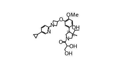 COc1ccc([C@@H]2CN(C(=O)C(O)CO)C[C@@]2(C)C(C)O)cc1OC1CN(c2ccc(C3CC3)cn2)C1